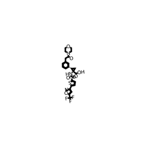 O=C(Cc1cccc([C@@H]2C[C@]2(NS(=O)(=O)c2ccc(-c3cc(C(F)(F)F)on3)s2)C(=O)O)c1)N1CCOCC1